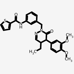 CCC1C=NN(Cc2cccc(NC(=O)c3cccs3)c2)C(=O)C1c1ccc(OC)c(OC)c1